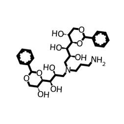 NCCCN(C[C@H](O)[C@@H](O)[C@@H]1OC(c2ccccc2)OC[C@H]1O)C[C@H](O)[C@@H](O)[C@@H]1OC(c2ccccc2)OC[C@H]1O